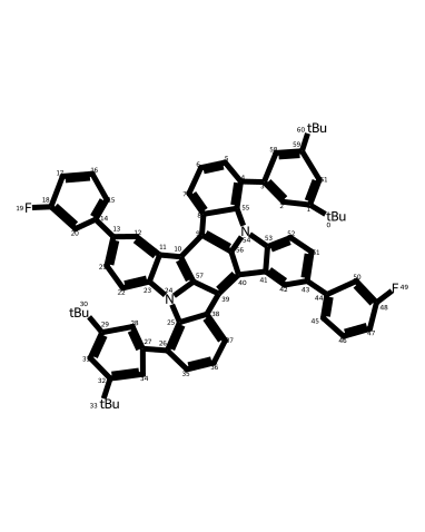 CC(C)(C)c1cc(-c2cccc3c4c5c6cc(-c7cccc(F)c7)ccc6n6c7c(-c8cc(C(C)(C)C)cc(C(C)(C)C)c8)cccc7c(c7c8cc(-c9cccc(F)c9)ccc8n(c23)c74)c56)cc(C(C)(C)C)c1